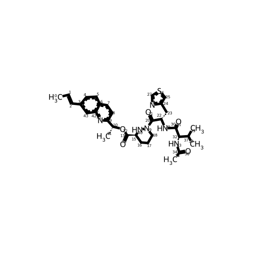 C/C=C/c1ccc2ccc([C@@H](C)OC(=O)[C@@H]3CCCN(C(=O)[C@H](Cc4cscn4)NC(=O)[C@@H](NC(C)=O)C(C)C)N3)nc2c1